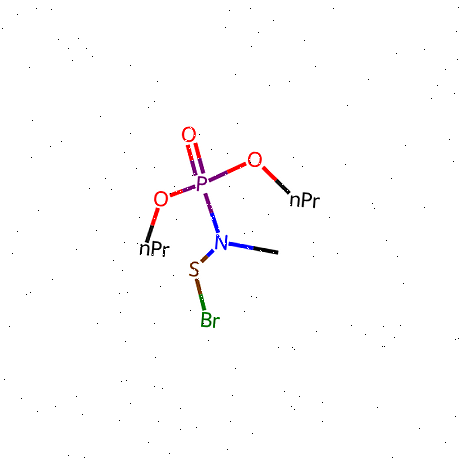 CCCOP(=O)(OCCC)N(C)SBr